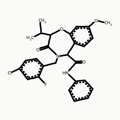 COc1ccc2c(c1)OC(C(C)C)C(=O)N(Cc1ccc(Cl)cc1F)C2C(=O)Nc1ccccc1